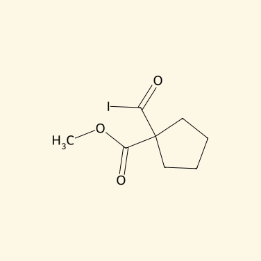 COC(=O)C1(C(=O)I)CCCC1